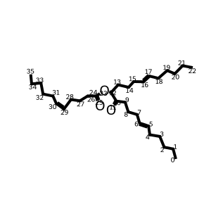 CCCCCC=CCCCC(=O)C(CCCC=CCCCCC)OC(=O)CCC/C=C\CCCCC